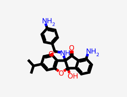 CC(C)c1ccc2c(c1)OC1(O)c3cccc(N)c3C(=O)C21NC(=O)c1ccc(N)cc1